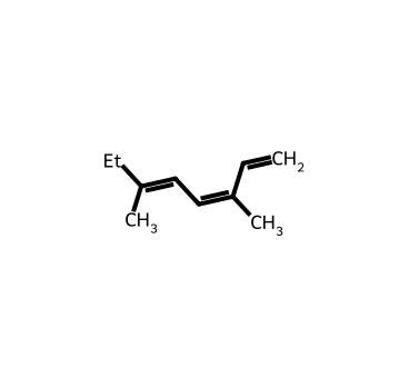 C=C/C(C)=C\C=C(/C)CC